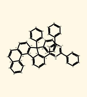 c1ccc(-c2nc(-c3ccccc3)nc(-c3cccc4c3C(c3ccccc3)(c3ccccc3)c3ccc5ccc6ccccc6c5c3-4)n2)cc1